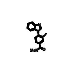 CNC(=O)c1ccc(-n2cnc3ccccc32)c(F)c1